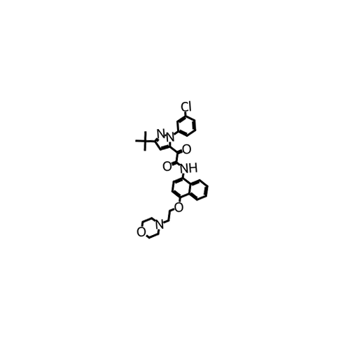 CC(C)(C)c1cc(C(=O)C(=O)Nc2ccc(OCCN3CCOCC3)c3ccccc23)n(-c2cccc(Cl)c2)n1